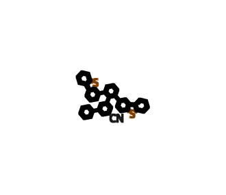 N#Cc1cc(-c2ccccc2)cc(-c2c(-c3ccc4sc5ccccc5c4c3)cccc2-c2cccc3c2sc2ccccc23)c1